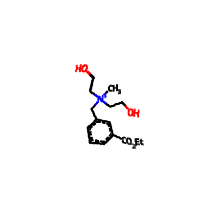 CCOC(=O)c1cccc(C[N+](C)(CCO)CCO)c1